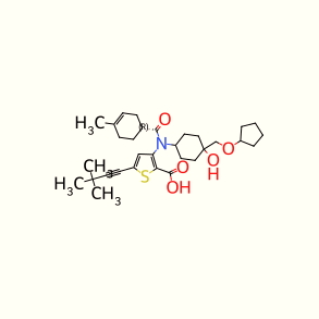 CC1=CC[C@H](C(=O)N(c2cc(C#CC(C)(C)C)sc2C(=O)O)C2CCC(O)(COC3CCCC3)CC2)CC1